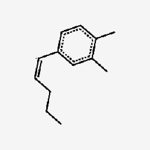 CCC/C=[C]\c1ccc(C)c(C)c1